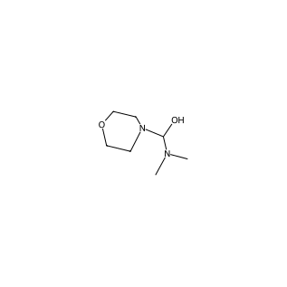 CN(C)C(O)N1CCOCC1